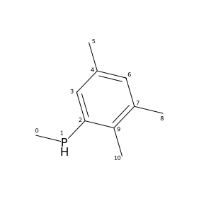 CPc1cc(C)cc(C)c1C